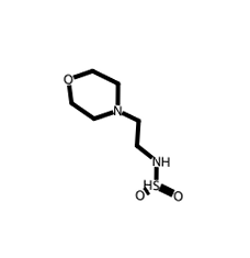 O=[SH](=O)NCCN1CCOCC1